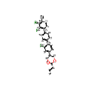 C/C=C/C1OCC(c2ccc(-c3ccc(-c4ccc(CC)c(F)c4F)cc3)c(F)c2)CO1